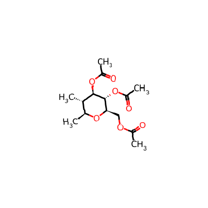 CC(=O)OC[C@H]1O[C@@H](C)[C@H](C)[C@@H](OC(C)=O)[C@@H]1OC(C)=O